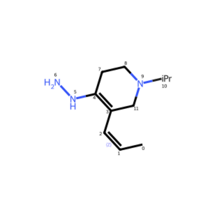 C/C=C\C1=C(NN)CCN(C(C)C)C1